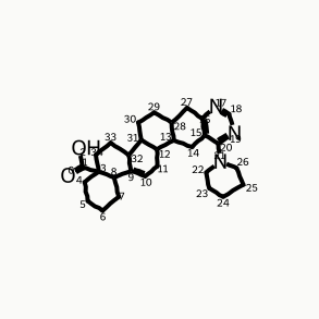 O=C(O)C12CCCCC1C1=CCC3C4Cc5c(ncnc5N5CCCCC5)CC4CCC3C1CC2